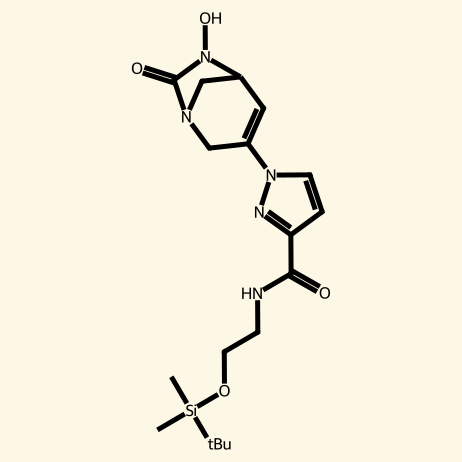 CC(C)(C)[Si](C)(C)OCCNC(=O)c1ccn(C2=CC3CN(C2)C(=O)N3O)n1